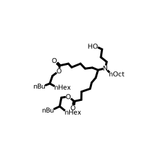 CCCCCCCCN(CCCO)C(CCCCCC(=O)OCC(CCCC)CCCCCC)CCCCCC(=O)OCC(CCCC)CCCCCC